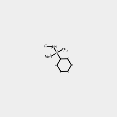 CCN[Si](C)(NC)C1CCCCC1